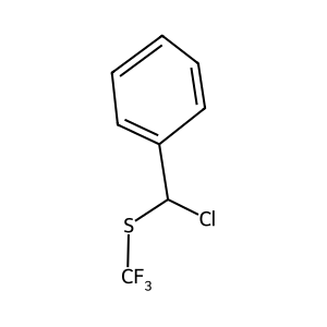 FC(F)(F)SC(Cl)c1ccccc1